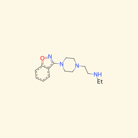 CCNCCN1CCN(c2noc3ccccc23)CC1